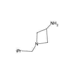 C[C](C)CN1CC(N)C1